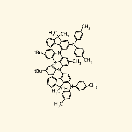 Cc1ccc(N(c2ccc(C)cc2)c2cc(N3c4ccc(C(C)(C)C)cc4B4c5cc(C(C)(C)C)ccc5N(c5ccc(N(c6ccc(C)cc6)c6ccc(C)cc6)c6c5-c5ccccc5C6(C)C)c5cc(C)cc3c54)c3c(c2)C(C)(C)c2ccccc2-3)cc1